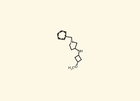 CO[C@H]1C[C@@H](NC2CCN(Cc3ccccc3)C2)C1